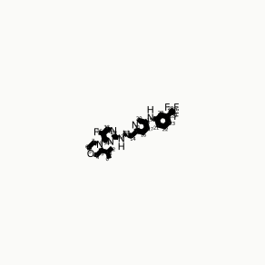 CC(C)C1COCCN1c1nc(N/N=C/c2ccc(Nc3cccc(C(F)(F)F)c3)cn2)ncc1F